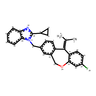 CC(C#N)=C1c2ccc(Cn3c(C4CC4)nc4ccccc43)cc2COc2cc(F)ccc21